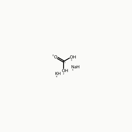 O=C(O)O.[KH].[NaH]